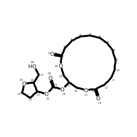 O=C1CCCCCCCCCCCC(=O)OCC(OC(=O)OC2CCOC2CO)CO1